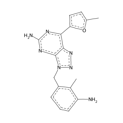 Cc1ccc(-c2nc(N)nc3c2nnn3Cc2cccc(N)c2C)o1